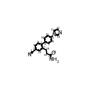 N#Cc1ccc(-c2ccc(-n3ccnc3)cc2)c(CCC(N)=O)c1